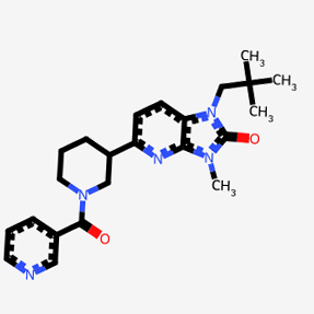 Cn1c(=O)n(CC(C)(C)C)c2ccc(C3CCCN(C(=O)c4cccnc4)C3)nc21